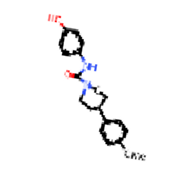 COc1ccc(C2CCN(C(=O)Nc3ccc(O)cc3)CC2)cc1